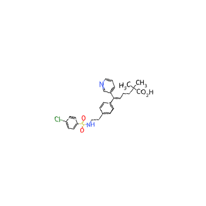 CC(C)(CCC=C(c1ccc(CCNS(=O)(=O)c2ccc(Cl)cc2)cc1)c1cccnc1)C(=O)O